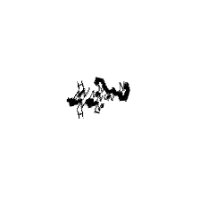 Cc1cc(Nc2cc(N(C)C)nc(N3CCCC3c3cc(-c4ccccn4)no3)n2)n[nH]1